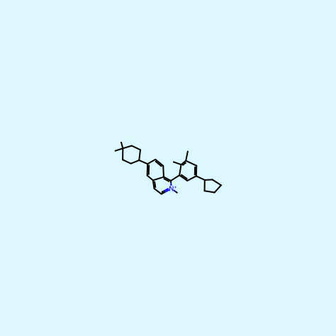 Cc1cc(C2CCCC2)cc(-c2c3ccc(C4CCC(C)(C)CC4)cc3cc[n+]2C)c1C